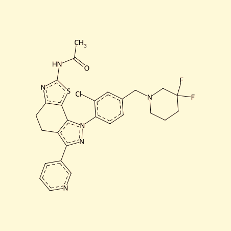 CC(=O)Nc1nc2c(s1)-c1c(c(-c3cccnc3)nn1-c1ccc(CN3CCCC(F)(F)C3)cc1Cl)CC2